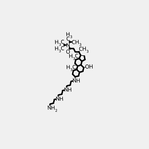 CC(C)N(C(=O)CC[C@@H](C)[C@H]1CCC2C3C(CC[C@@]21C)[C@@]1(C)CC[C@H](NCCCNCCCNCCCN)CC1C[C@H]3O)C(C)C